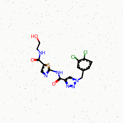 O=C(Nc1ncc(C(=O)NCCO)s1)c1cn(Cc2ccc(Cl)c(Cl)c2)nn1